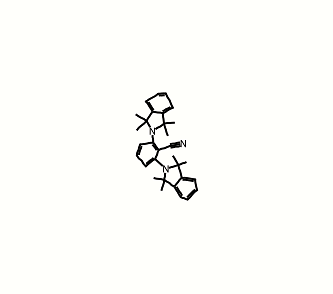 CC1(C)c2ccccc2C(C)(C)N1c1cccc(N2C(C)(C)c3ccccc3C2(C)C)c1C#N